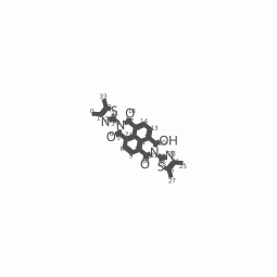 Cc1nc(N2C(=O)c3ccc4c5c(ccc(c35)C2=O)C(O)N(c2nc(C)c(C)s2)C4=O)sc1C